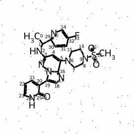 CC(Nc1cc(N2CCN(S(C)(=O)=O)CC2)c2ncc(-c3ccc[nH]c3=O)n2n1)c1ccc(F)cn1